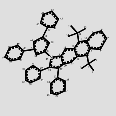 CC(C)(C)c1c2ccccc2c(C(C)(C)C)c2cc3c(cc12)c(-c1ccccc1)c(-c1ccccc1)n3-c1cc(-c2ccccc2)cc(-c2ccccc2)c1